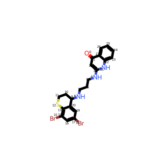 O=c1cc(NCCCNC2CCSc3c(Br)cc(Br)cc32)[nH]c2ccccc12